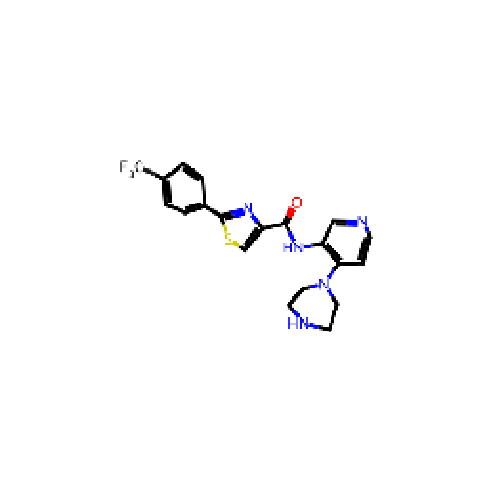 O=C(Nc1cnccc1N1CCNCC1)c1csc(-c2ccc(C(F)(F)F)cc2)n1